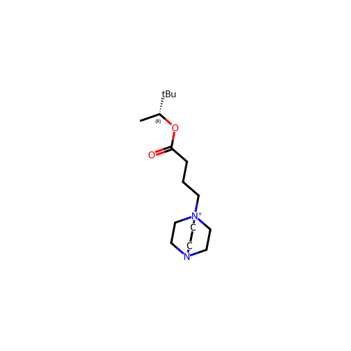 C[C@@H](OC(=O)CCC[N+]12CCN(CC1)CC2)C(C)(C)C